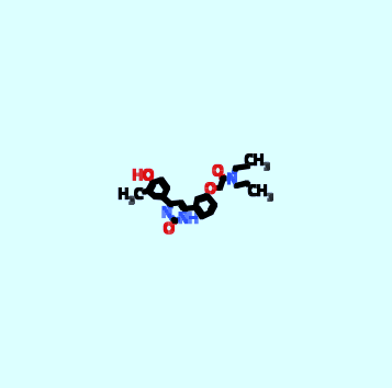 CCCN(CCC)C(=O)COc1cccc(-c2cc(-c3ccc(O)c(C)c3)nc(=O)[nH]2)c1